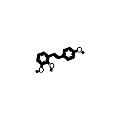 COc1ccc(C=Cc2cccc(OC)c2OC)cc1